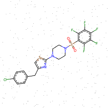 O=S(=O)(c1c(F)c(F)c(F)c(F)c1F)N1CCN(c2nc(Cc3ccc(Cl)cc3)cs2)CC1